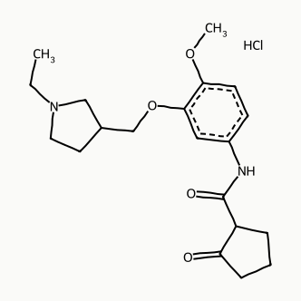 CCN1CCC(COc2cc(NC(=O)C3CCCC3=O)ccc2OC)C1.Cl